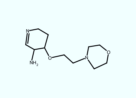 NC1C=NCCC1OCCN1CCOCC1